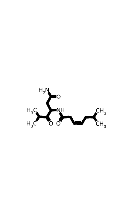 CC(C)C/C=C\CC(=O)NC(CC(N)=O)C(=O)C(C)C